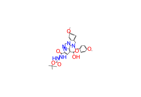 COc1ccc(CN(Cc2ccc(OC)cc2)c2ncnn3c(C(=O)NNC(=O)OC(C)(C)C)cc(C(=O)O)c23)cc1